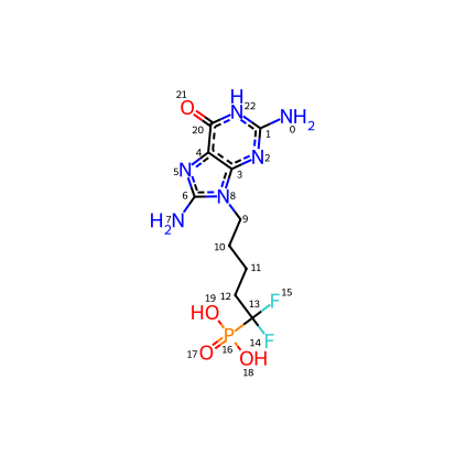 Nc1nc2c(nc(N)n2CCCCC(F)(F)P(=O)(O)O)c(=O)[nH]1